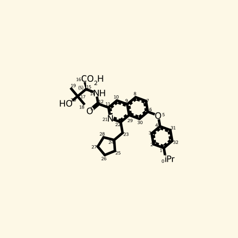 CC(C)c1ccc(Oc2ccc3cc(C(=O)N[C@H](C(=O)O)C(C)(C)O)nc(CC4CCCC4)c3c2)cc1